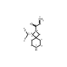 C=CC(=O)N1CC2(CCNCC2)[C@@H]1C(F)F